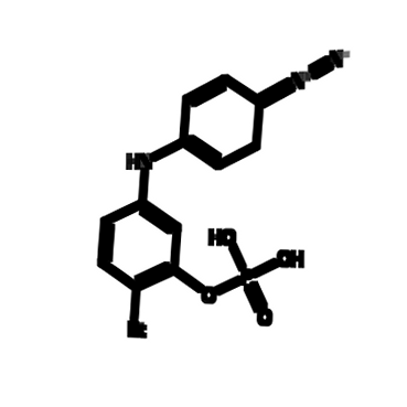 CCc1ccc(NC2=CCC(=[N+]=[N-])C=C2)cc1OP(=O)(O)O